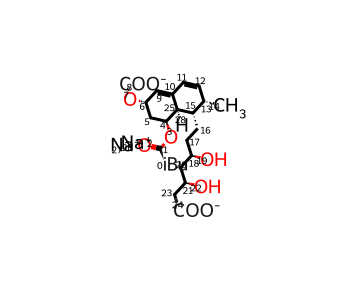 CC[C@H](C)C(=O)O[C@H]1C[C@H](OC(=O)[O-])C=C2C=C[C@H](C)[C@H](CC[C@@H](O)C[C@@H](O)CC(=O)[O-])[C@H]21.[Na+].[Na+]